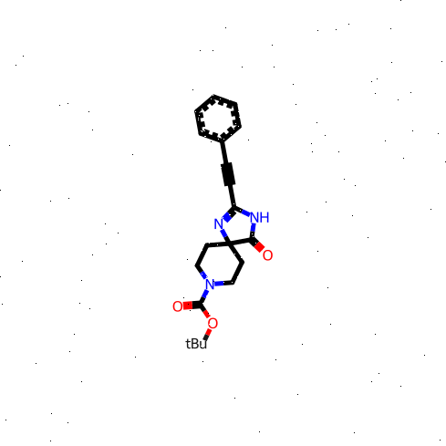 CC(C)(C)OC(=O)N1CCC2(CC1)N=C(C#Cc1ccccc1)NC2=O